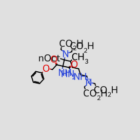 CCCCCCCCC(C(C)CCCCN(CC(=O)O)CC(=O)O)(N(CC(=O)O)CC(=O)O)C(N)(C(=O)COc1ccccc1)C(=O)NN